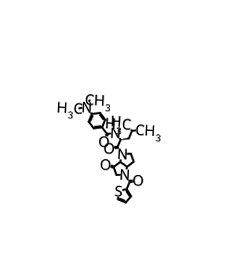 CC(C)C[C@H](NC(=O)c1ccc(N(C)C)cc1)C(=O)N1CCC2C1C(=O)CN2C(=O)c1cccs1